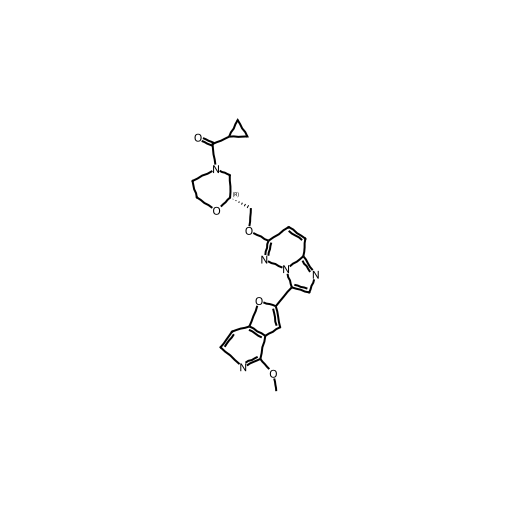 COc1nccc2oc(-c3cnc4ccc(OC[C@H]5CN(C(=O)C6CC6)CCO5)nn34)cc12